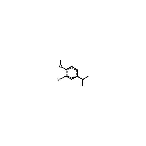 COc1ccc(C(C)C)cc1Br